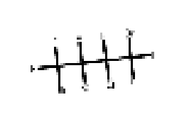 FC(F)(Br)C(F)(Cl)C(F)(Cl)C(F)(F)Br